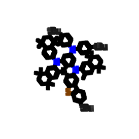 Cc1cc2c(cc1N1c3cc4c(cc3B3c5cc6c(cc5N(c5ccc7c(c5)C(C)(C)CCC7(C)C)c5cc(N(c7ccc(C(C)(C)C)cc7)c7ccc(C(C)(C)C)cc7)cc1c53)C(C)(C)CCC6(C)C)sc1cc(C(C)(C)C)ccc14)C(C)(C)CCC2(C)C